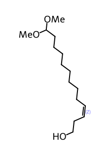 COC(CCCCCCCC/C=C\CCO)OC